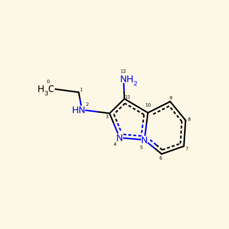 CCNc1nn2ccccc2c1N